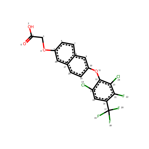 O=C(O)COc1ccc2cc(Oc3c(Cl)cc(C(F)(F)F)c(F)c3Cl)ccc2c1